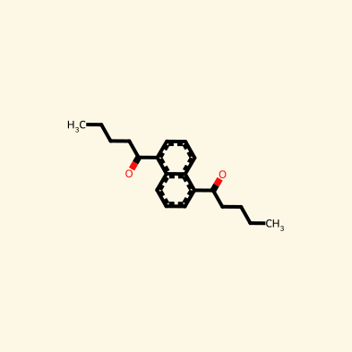 CCCCC(=O)c1cccc2c(C(=O)CCCC)cccc12